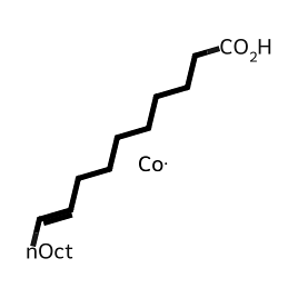 CCCCCCCCC=CCCCCCCCC(=O)O.[Co]